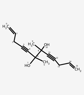 C=CCC#CC(C)(O)C(C)(O)C#CCC=C